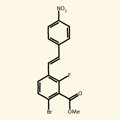 COC(=O)c1c(Br)ccc(C=Cc2ccc([N+](=O)[O-])cc2)c1F